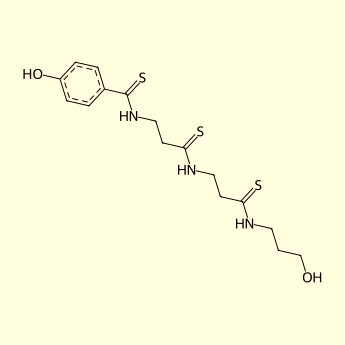 OCCCNC(=S)CCNC(=S)CCNC(=S)c1ccc(O)cc1